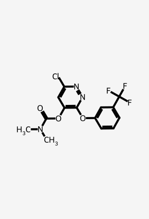 CN(C)C(=O)Oc1cc(Cl)nnc1Oc1cccc(C(F)(F)F)c1